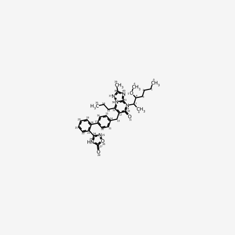 CCCCC(OC)C(C)n1c(=O)c(Cc2ccc(-c3ccccc3-c3noc(=O)[nH]3)cc2)c(CCC)n2nc(C)nc12